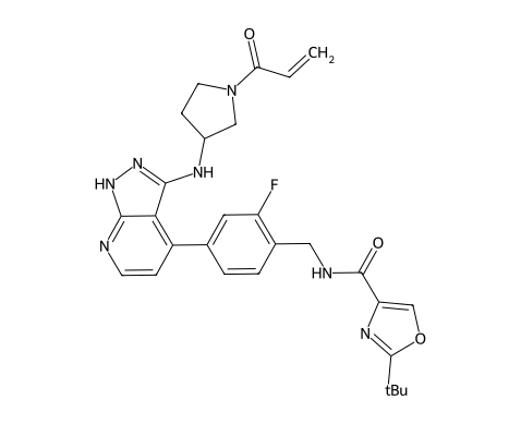 C=CC(=O)N1CCC(Nc2n[nH]c3nccc(-c4ccc(CNC(=O)c5coc(C(C)(C)C)n5)c(F)c4)c23)C1